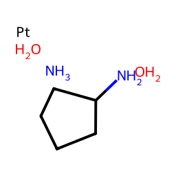 N.NC1CCCC1.O.O.[Pt]